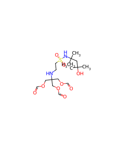 CC(C)(O)CC(C)(C)NS(=O)(=O)CCNC(COC=O)(COC=O)COC=O